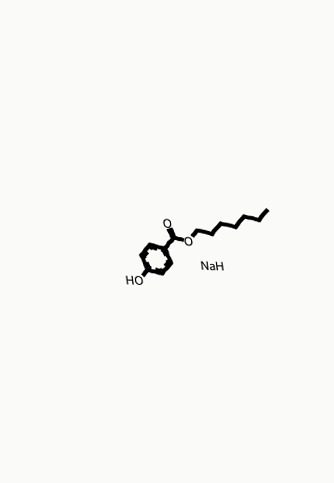 CCCCCCCOC(=O)c1ccc(O)cc1.[NaH]